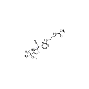 CC(=O)NCCCNc1nccc(/C(C#N)=C2/NC(C(C)(C)C)=CS2)n1